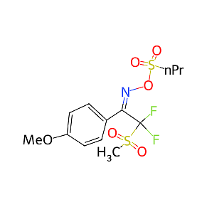 CCCS(=O)(=O)ON=C(c1ccc(OC)cc1)C(F)(F)S(C)(=O)=O